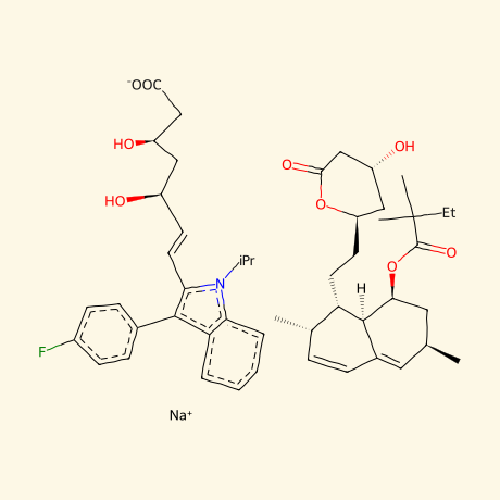 CC(C)n1c(/C=C/[C@@H](O)C[C@@H](O)CC(=O)[O-])c(-c2ccc(F)cc2)c2ccccc21.CCC(C)(C)C(=O)O[C@H]1C[C@@H](C)C=C2C=C[C@H](C)[C@H](CC[C@@H]3C[C@@H](O)CC(=O)O3)[C@H]21.[Na+]